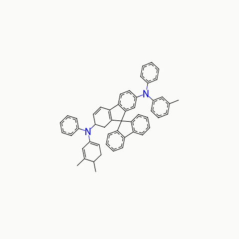 CC1=CC(N(c2ccccc2)C2C=CC3=C(C2)C2(c4cc(N(c5ccccc5)c5cccc(C)c5)ccc43)c3ccccc3-c3ccccc32)=CCC1C